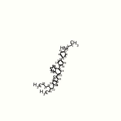 CCCCNc1ccc(-c2ccc(-c3ccc(-c4cc5sc(CC(CC)CCCC)cc5s4)c4nsnc34)cc2)cc1